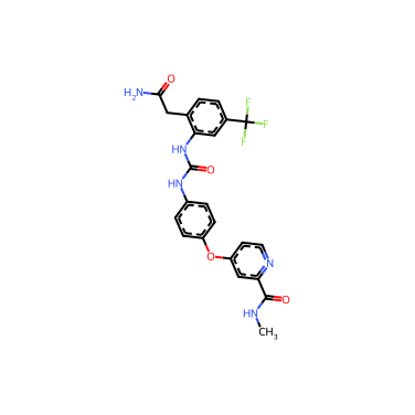 CNC(=O)c1cc(Oc2ccc(NC(=O)Nc3cc(C(F)(F)F)ccc3CC(N)=O)cc2)ccn1